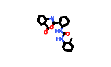 Cc1ccccc1NC(=O)Nc1ccccc1-c1nc2ccccc2c(=O)o1